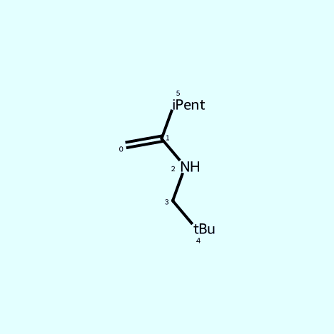 C=C(NCC(C)(C)C)C(C)CCC